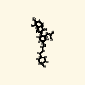 Cc1c(F)ccc2[nH]c(-c3ccc(OCCCC4CCN(C)CC4)cc3CN(C)C)nc12